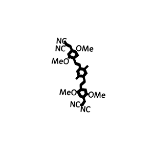 [C-]#[N+]/C(C#N)=C/c1cc(OC)c(/C=C/c2cc(C)c(/C=C/c3cc(OC)c(C=C(C#N)C#N)cc3OC)cc2C)cc1OC